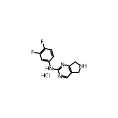 Cl.Fc1ccc(Nc2ncc3c(n2)CNC3)cc1F